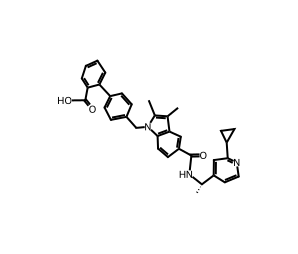 Cc1c(C)n(Cc2ccc(-c3ccccc3C(=O)O)cc2)c2ccc(C(=O)N[C@@H](C)c3ccnc(C4CC4)c3)cc12